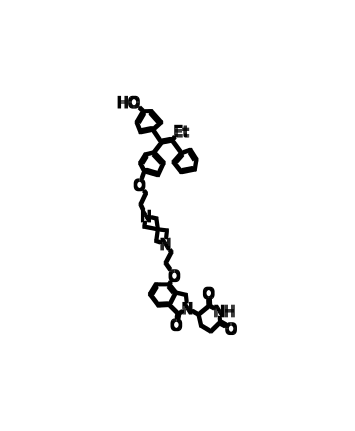 CCC(=C(c1ccc(O)cc1)c1ccc(OCCN2CC3(C2)CN(CCOc2cccc4c2CN(C2CCC(=O)NC2=O)C4=O)C3)cc1)c1ccccc1